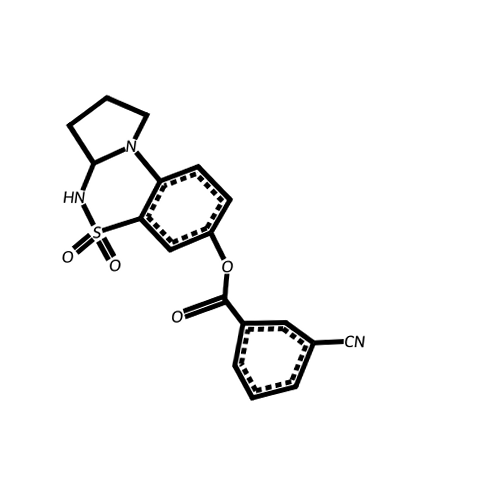 N#Cc1cccc(C(=O)Oc2ccc3c(c2)S(=O)(=O)NC2CCCN32)c1